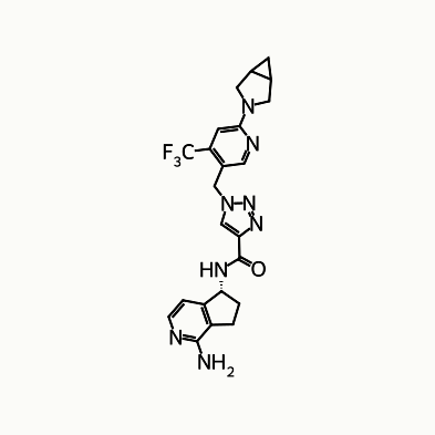 Nc1nccc2c1CC[C@H]2NC(=O)c1cn(Cc2cnc(N3CC4CC4C3)cc2C(F)(F)F)nn1